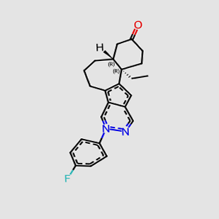 CC[C@@]12CCC(=O)C[C@H]1CCCc1c3cn(-c4ccc(F)cc4)ncc-3cc12